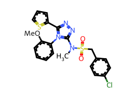 COc1ccccc1-n1c(-c2cccs2)nnc1N(C)S(=O)(=O)Cc1ccc(Cl)cc1